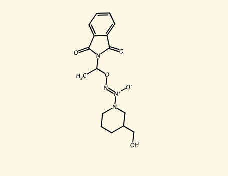 CC(ON=[N+]([O-])N1CCCC(CO)C1)N1C(=O)c2ccccc2C1=O